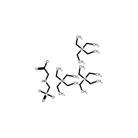 CC[N+](CC)(CC)CC.CC[N+](CC)(CC)CC.CC[N+](CC)(CC)CC.O=C([O-])CNCP(=O)([O-])[O-]